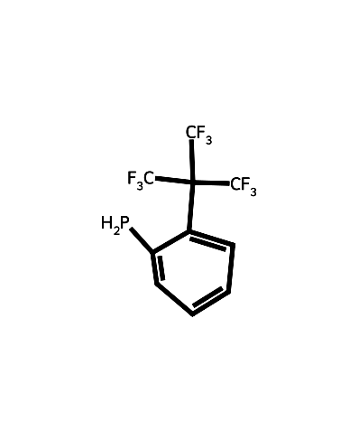 FC(F)(F)C(c1ccccc1P)(C(F)(F)F)C(F)(F)F